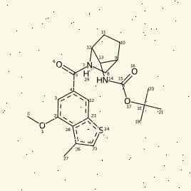 COc1cc(C(=O)N2CC3CCC2[C@@H]3NC(=O)OC(C)(C)C)cc2scc(C)c12